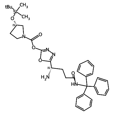 CC(C)(C)[Si](C)(C)O[C@H]1CCN(C(=O)Oc2nnc([C@@H](N)CCC(=O)NC(c3ccccc3)(c3ccccc3)c3ccccc3)o2)C1